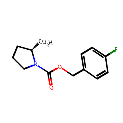 O=C(O)[C@@H]1CCCN1C(=O)OCc1ccc(F)cc1